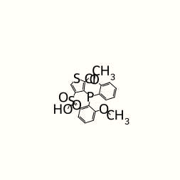 COc1ccccc1P(c1ccccc1OC)c1c(S(=O)(=O)O)csc1Cl